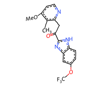 COc1ccnc(CC(=O)c2nc3cc(OC(F)(F)F)ccc3[nH]2)c1C